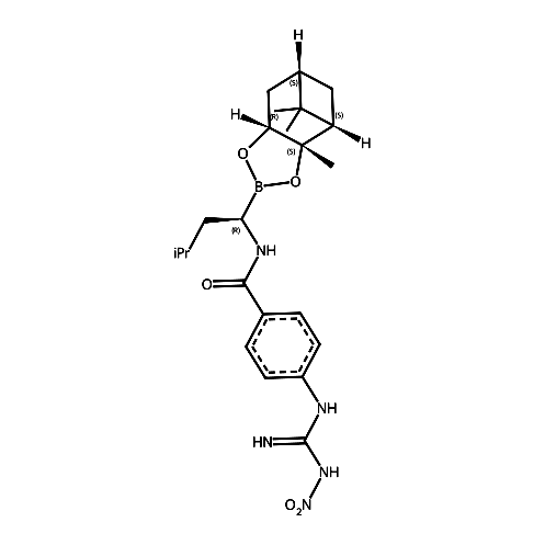 CC(C)C[C@H](NC(=O)c1ccc(NC(=N)N[N+](=O)[O-])cc1)B1O[C@@H]2C[C@@H]3C[C@@H](C3(C)C)[C@]2(C)O1